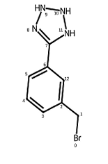 BrCc1cccc(C2=NNNN2)c1